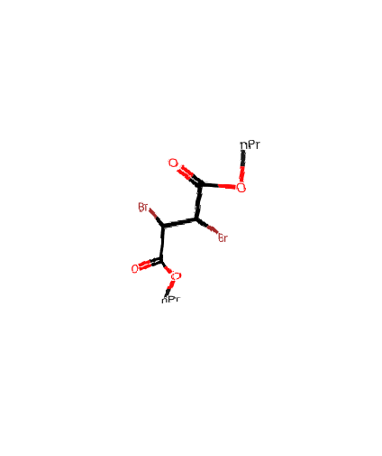 CCCOC(=O)C(Br)C(Br)C(=O)OCCC